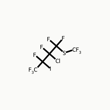 FC(F)(F)SC(F)(F)C(F)(Cl)C(F)(I)C(F)(F)F